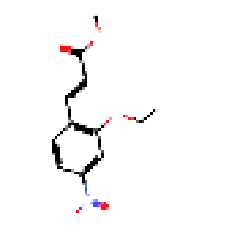 CCOc1cc([N+](=O)[O-])ccc1/C=C/C(=O)OC